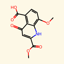 COC(=O)c1cc(=O)c2c(C(=O)O)ccc(OC)c2[nH]1